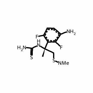 CNSC[C@](C)(NC(N)=S)c1c(F)ccc(N)c1F